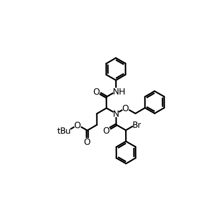 CC(C)(C)OC(=O)CCC(C(=O)Nc1ccccc1)N(OCc1ccccc1)C(=O)C(Br)c1ccccc1